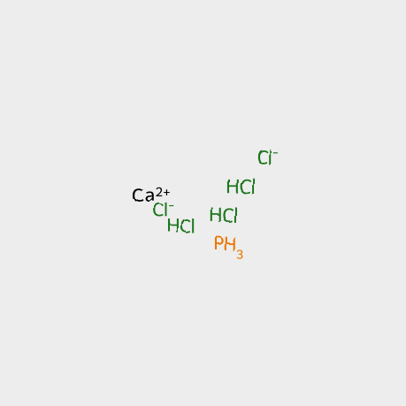 Cl.Cl.Cl.P.[Ca+2].[Cl-].[Cl-]